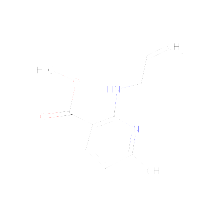 C=CCNc1nc(C)ccc1C(=O)OC